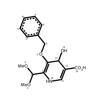 COC(OC)C1=C(OCc2ccccc2)C(O)C(C(=O)O)=CN1